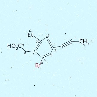 CC#Cc1cc(Br)c(CC(=O)O)c(CC)c1